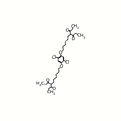 CCC(=O)C(CCCCCCOc1cc(Cl)c(OCCCCCCC(C(=O)CC)C(=O)CC)cc1Cl)C(=O)CC